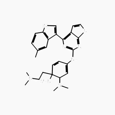 CNC1(CCN(C)C)C=CC(Nc2nc(-c3c[nH]c4ccc(C)cc34)c3cc[nH]c3n2)=CC1N(C)C